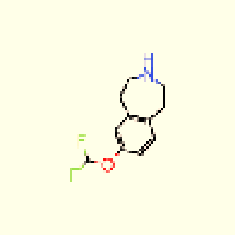 FC(F)Oc1ccc2c(c1)CCNCC2